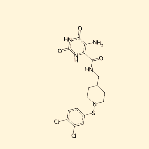 Nc1c(C(=O)NCC2CCN(Sc3ccc(Cl)c(Cl)c3)CC2)[nH]c(=O)[nH]c1=O